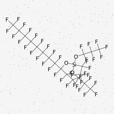 FC(F)(F)C(F)(F)C(F)(F)O[Si](OC(F)(F)C(F)(F)C(F)(F)F)(OC(F)(C(F)(F)C(F)(F)F)C(F)(F)C(F)(F)C(F)(F)C(F)(F)C(F)(F)C(F)(F)C(F)(F)C(F)(F)F)C(F)(F)C(F)(F)F